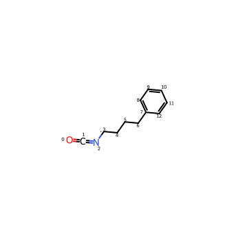 O=C=N[CH]CCCc1ccccc1